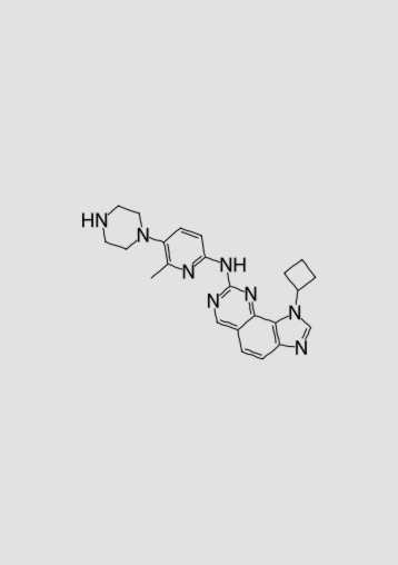 Cc1nc(Nc2ncc3ccc4ncn(C5CCC5)c4c3n2)ccc1N1CCNCC1